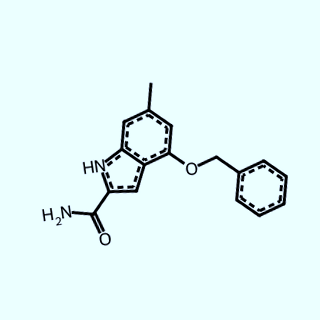 Cc1cc(OCc2ccccc2)c2cc(C(N)=O)[nH]c2c1